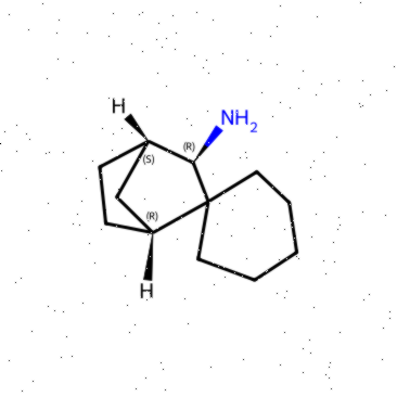 N[C@@H]1[C@H]2CC[C@H](C2)C12CCCCC2